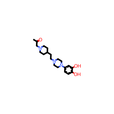 CC(=O)CN1CCC(CCN2CCN(c3ccc(O)c(O)c3)CC2)CC1